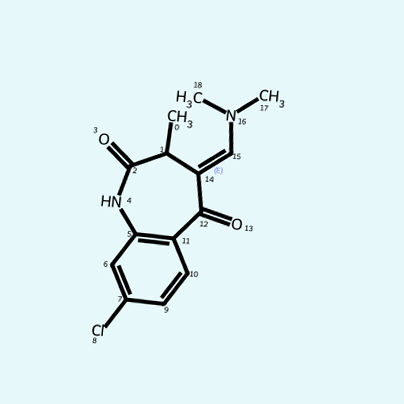 CC1C(=O)Nc2cc(Cl)ccc2C(=O)/C1=C/N(C)C